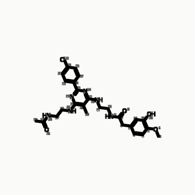 COc1ccc(CC(=O)NCCNc2nc(-c3ccc(Cl)cc3)nc(NCCNC(C)=O)c2C)cc1O